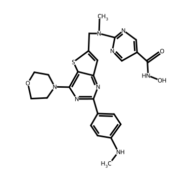 CNc1ccc(-c2nc(N3CCOCC3)c3sc(CN(C)c4ncc(C(=O)NO)cn4)cc3n2)cc1